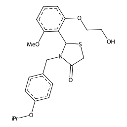 COc1cccc(OCCO)c1C1SCC(=O)N1Cc1ccc(OC(C)C)cc1